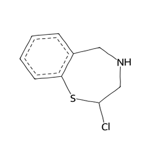 ClC1CNCc2ccccc2S1